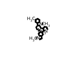 Cc1ccc2c(c1)c1c(n2C)C(c2cccnc2-c2ccc3c(ccn3C)c2)N(C)CC1